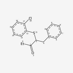 CCC(=O)C(Cc1ccccc1)Sc1ccccc1Cl